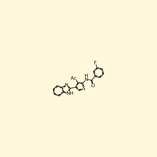 CC(=O)c1c(-c2nc3ccccc3[nH]2)csc1NC(=O)c1cccc(F)c1